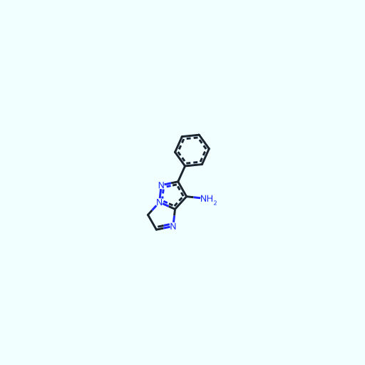 Nc1c(-c2ccccc2)nn2c1N=CC2